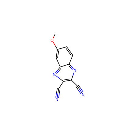 COc1ccc2nc(C#N)c(C#N)nc2c1